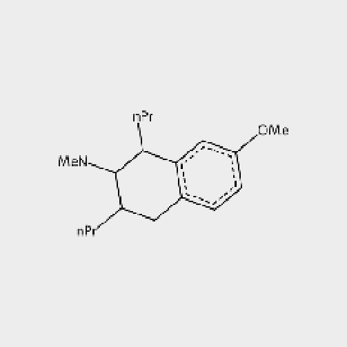 CCCC1Cc2ccc(OC)cc2C(CCC)C1NC